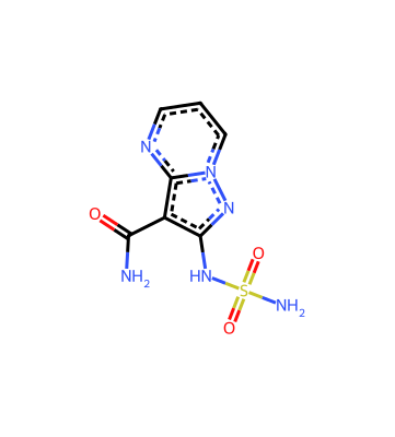 NC(=O)c1c(NS(N)(=O)=O)nn2cccnc12